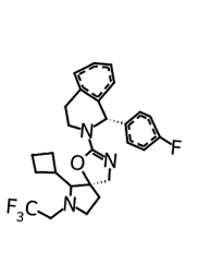 Fc1ccc([C@H]2c3ccccc3CCN2C2=NC[C@@]3(CCN(CC(F)(F)F)C3C3CCC3)O2)cc1